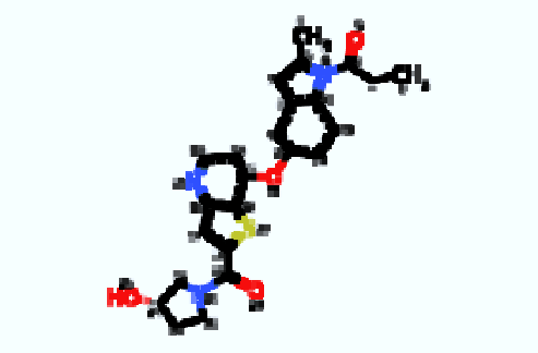 CCC(=O)n1c(C)cc2cc(Oc3ccnc4cc(C(=O)N5CC[C@H](O)C5)sc34)ccc21